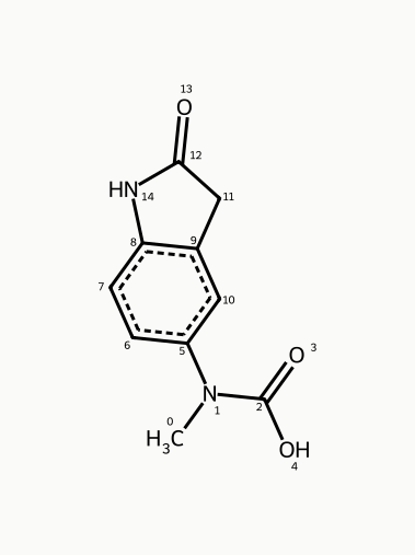 CN(C(=O)O)c1ccc2c(c1)CC(=O)N2